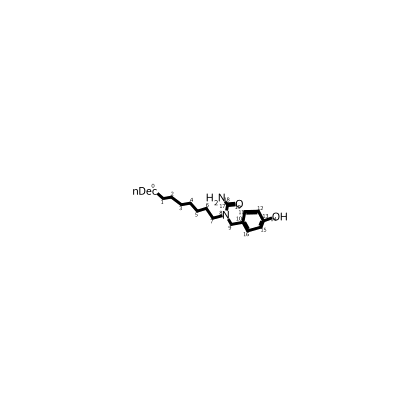 CCCCCCCCCCCCCCCCCN(Cc1ccc(O)cc1)C(N)=O